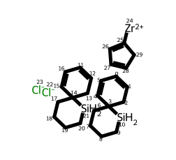 C1=CCC2(C=C1)CCCC[SiH2]2.C1=CCC2(C=C1)CCCC[SiH2]2.[Cl-].[Cl-].[Zr+2][C]1=CC=CC1